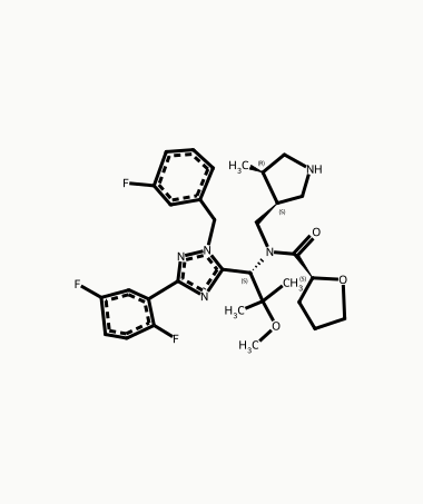 COC(C)(C)[C@H](c1nc(-c2cc(F)ccc2F)nn1Cc1cccc(F)c1)N(C[C@@H]1CNC[C@@H]1C)C(=O)[C@@H]1CCCO1